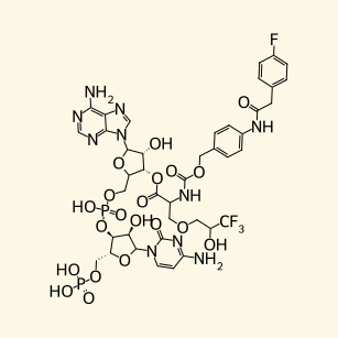 Nc1ccn(C2O[C@H](COP(=O)(O)O)[C@@H](OP(=O)(O)OCC3OC(n4cnc5c(N)ncnc54)[C@H](O)[C@@H]3OC(=O)C(COCC(O)C(F)(F)F)NC(=O)OCc3ccc(NC(=O)Cc4ccc(F)cc4)cc3)[C@H]2O)c(=O)n1